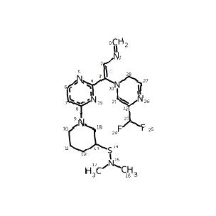 C=N/C=C(/c1nccc(N2CCCC(SN(C)C)C2)n1)N1C=C(C(F)F)N=CC1